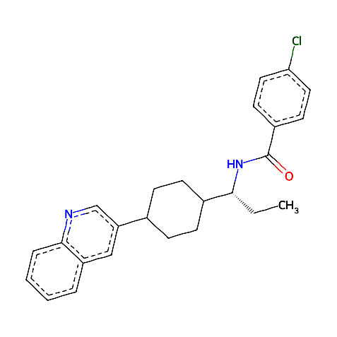 CC[C@@H](NC(=O)c1ccc(Cl)cc1)C1CCC(c2cnc3ccccc3c2)CC1